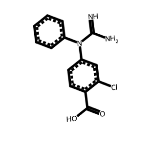 N=C(N)N(c1ccccc1)c1ccc(C(=O)O)c(Cl)c1